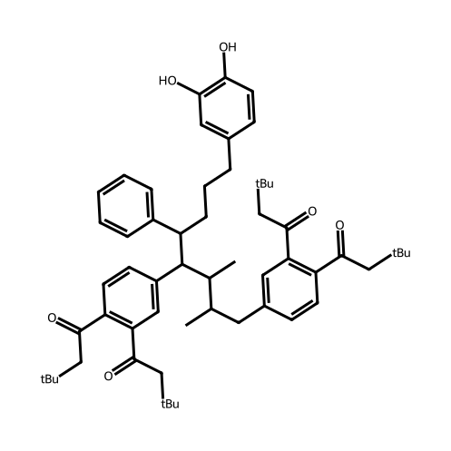 CC(Cc1ccc(C(=O)CC(C)(C)C)c(C(=O)CC(C)(C)C)c1)C(C)C(c1ccc(C(=O)CC(C)(C)C)c(C(=O)CC(C)(C)C)c1)C(CCCc1ccc(O)c(O)c1)c1ccccc1